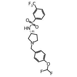 O=S(=O)(N[C@@H]1CCN(Cc2ccc(OC(F)F)cc2)C1)c1cccc(C(F)(F)F)c1